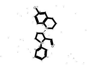 O=CC1[C@@H](N2CCCc3cc(Cl)ccc32)CCN1c1ccccc1